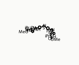 COC(=O)NC(C(=O)N1CCCC1c1ncc(-c2ccc(-c3cnc(-c4ccc(-c5cnc(C6CCCN6C(=O)C(NC(=O)OC)C(C)C)[nH]5)cc4)s3)cc2)[nH]1)C(C)C